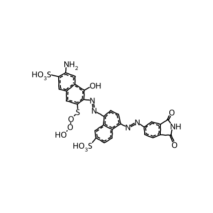 Nc1cc2c(O)c(N=Nc3ccc(N=Nc4ccc5c(c4)C(=O)NC5=O)c4ccc(S(=O)(=O)O)cc34)c(SOOO)cc2cc1S(=O)(=O)O